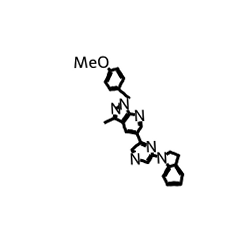 COc1ccc(Cn2nc(C)c3cc(-c4cncc(N5CCc6ccccc65)n4)cnc32)cc1